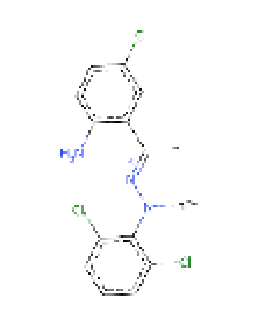 CCCN(/N=C(\C)c1cc(Cl)ccc1N)c1c(Cl)cccc1Cl